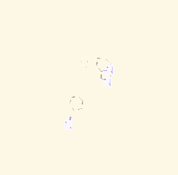 N#Cc1ccc(C2CCC(C(=O)c3c(C4CC4)ccn4cncc34)CC2)cc1